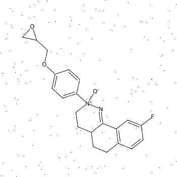 [O-][N+]1(c2ccc(OCC3CO3)cc2)CCC2CCc3ccc(F)cc3C2=N1